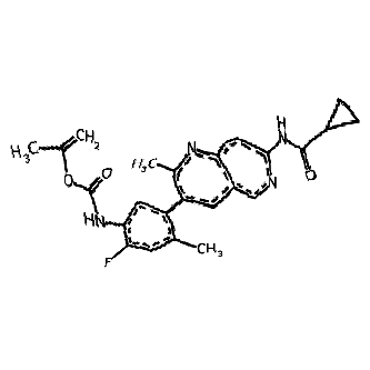 C=C(C)OC(=O)Nc1cc(-c2cc3cnc(NC(=O)C4CC4)cc3nc2C)c(C)cc1F